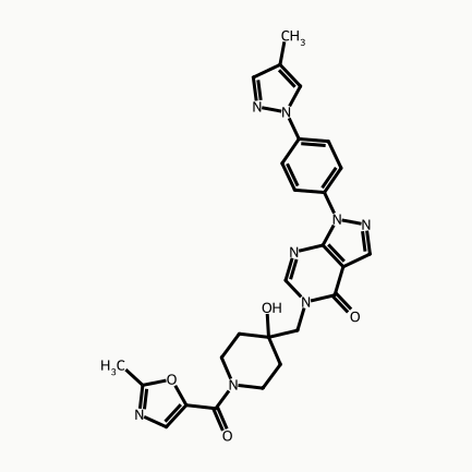 Cc1cnn(-c2ccc(-n3ncc4c(=O)n(CC5(O)CCN(C(=O)c6cnc(C)o6)CC5)cnc43)cc2)c1